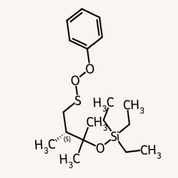 CC[Si](CC)(CC)OC(C)(C)[C@H](C)CSOOc1ccccc1